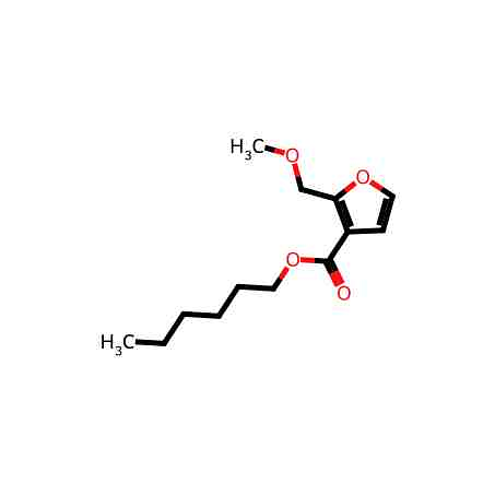 CCCCCCOC(=O)c1ccoc1COC